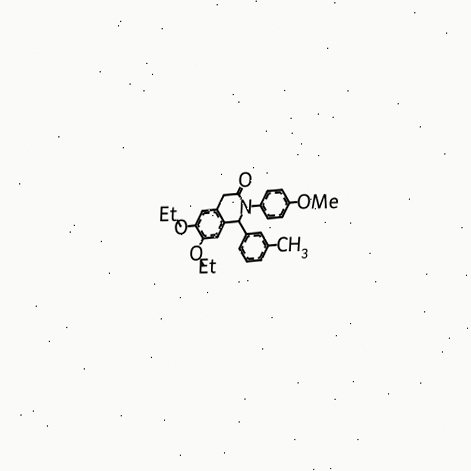 CCOc1cc2c(cc1OCC)C(c1cccc(C)c1)N(c1ccc(OC)cc1)C(=O)C2